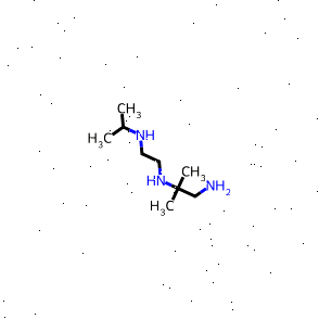 CC(C)NCCNC(C)(C)CN